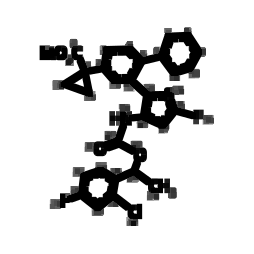 CCOC(=O)C1(c2ccc(-c3ccccc3)c(-c3sc(F)cc3NC(=O)OC(C)c3ccc(F)cc3Cl)c2)CC1